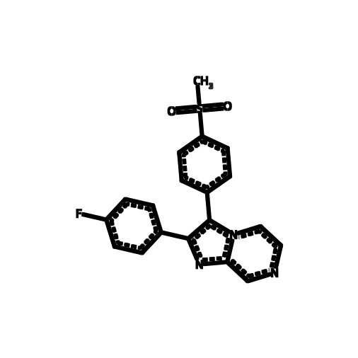 CS(=O)(=O)c1ccc(-c2c(-c3ccc(F)cc3)nc3cnccn23)cc1